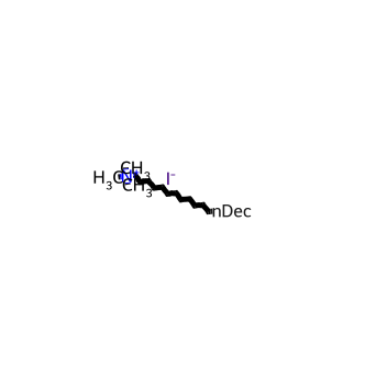 CCCCCCCCCCCCCCCCCCCCCC[N+](C)(C)C.[I-]